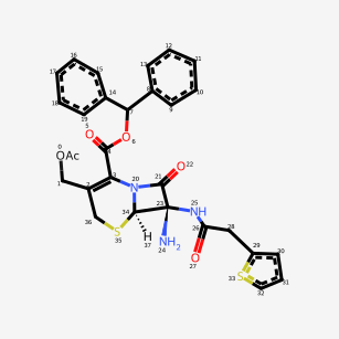 CC(=O)OCC1=C(C(=O)OC(c2ccccc2)c2ccccc2)N2C(=O)[C@](N)(NC(=O)Cc3cccs3)[C@H]2SC1